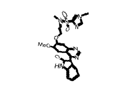 COc1cc2c(C3C(=O)Nc4ccccc43)ncnc2cc1OCCN(C)S(=O)(=O)c1cn(C)cn1